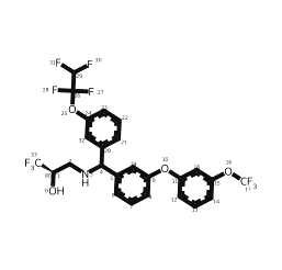 O[C@H](CNC(c1cccc(Oc2cccc(OC(F)(F)F)c2)c1)c1cccc(OC(F)(F)C(F)F)c1)C(F)(F)F